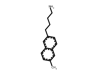 Cc1ccc2cc(CCCCN)ccc2c1